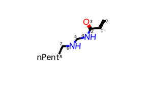 C=CC(=O)NCNCCCCCC